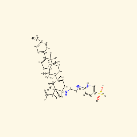 C=C(C)[C@@H]1CC[C@]2(NCCNc3ccc(S(C)(=O)=O)cn3)CC[C@]3(C)[C@H](CC[C@@H]4[C@@]5(C)CC=C(c6ccc(C(=O)O)cc6)C(C)(C)[C@@H]5CC[C@]43C)[C@@H]12